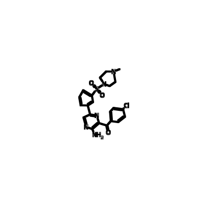 CN1CCN(S(=O)(=O)c2cccc(-c3cnc(N)c(C(=O)c4ccc(Cl)cc4)n3)c2)CC1